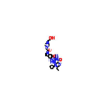 CCC1CN(C)C2=C(N[C@@](N)(Nc3cc4ccn(C(=O)CN5CCN(CCO)CC5)c4cc3OC)NC2=O)N1C1CCCC1